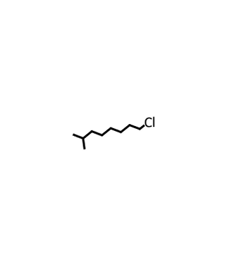 CC(C)CCCCCCCl